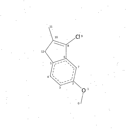 COc1ccc2c(c1)C(Cl)=C(C)C2